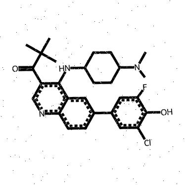 CN(C)C1CCC(Nc2c(C(=O)C(C)(C)C)cnc3ccc(-c4cc(F)c(O)c(Cl)c4)cc23)CC1